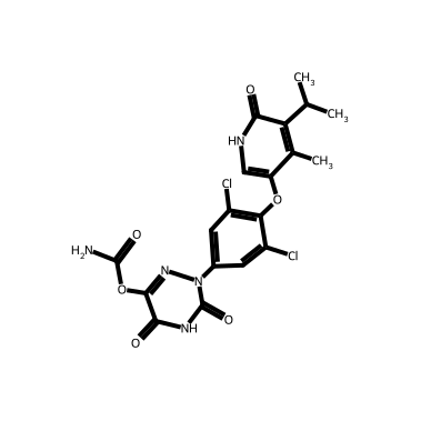 Cc1c(Oc2c(Cl)cc(-n3nc(OC(N)=O)c(=O)[nH]c3=O)cc2Cl)c[nH]c(=O)c1C(C)C